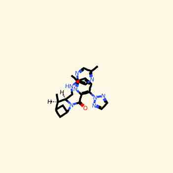 Cc1cnc(NC[C@@H]2[C@H](C)C3CC(C3)N2C(=O)c2nc(C)ccc2-n2nccn2)cn1